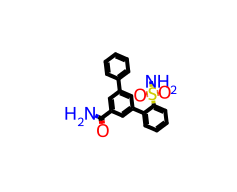 NC(=O)c1cc(-c2ccccc2)cc(-c2ccccc2S(N)(=O)=O)c1